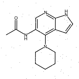 CC(=O)Nc1cnc2[nH]ccc2c1N1CCCCC1